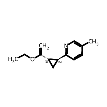 C=C(OCC)[C@H]1C[C@@H]1c1ccc(C)cn1